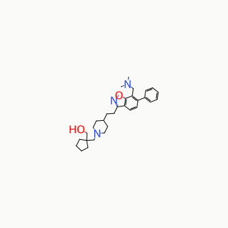 CN(C)Cc1c(-c2ccccc2)ccc2c(CCC3CCN(CC4(CO)CCCC4)CC3)noc12